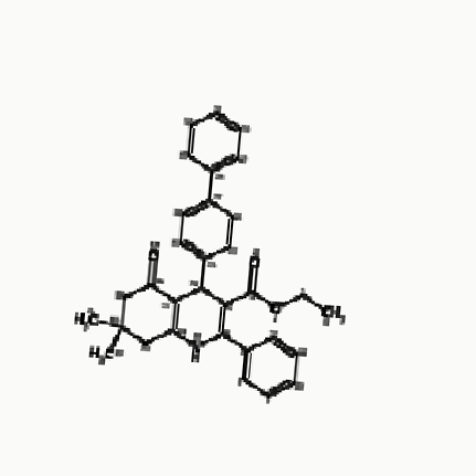 CCOC(=O)C1=C(c2ccccc2)NC2=C(C(=O)CC(C)(C)C2)C1c1ccc(-c2ccccc2)cc1